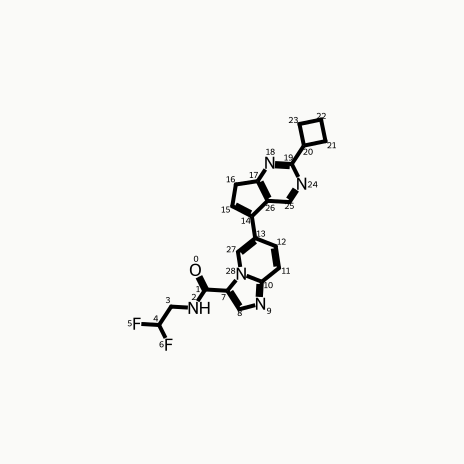 O=C(NCC(F)F)c1cnc2ccc(C3=CCc4nc(C5CCC5)ncc43)cn12